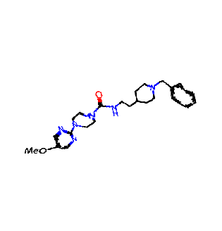 COc1cnc(N2CCN(C(=O)NCCC3CCN(Cc4ccccc4)CC3)CC2)nc1